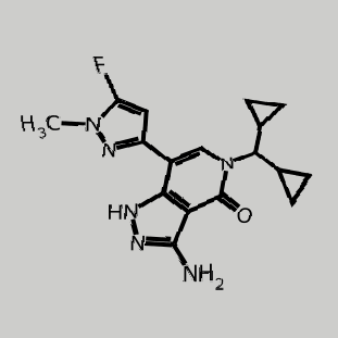 Cn1nc(-c2cn(C(C3CC3)C3CC3)c(=O)c3c(N)n[nH]c23)cc1F